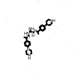 C/C(=N\NC(=N)N/N=C(\C)c1ccc(N2CCNCC2)cc1)c1ccc(C2CCNCC2)cc1